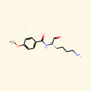 COc1ccc(C(=O)N[C@H]([C]=O)CCCCN)cc1